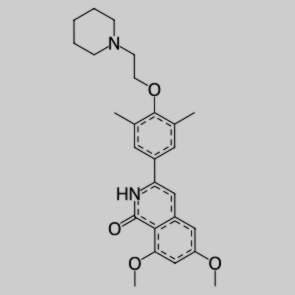 COc1cc(OC)c2c(=O)[nH]c(-c3cc(C)c(OCCN4CCCCC4)c(C)c3)cc2c1